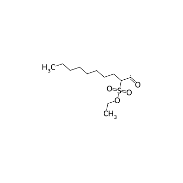 CCCCCCCCC([C]=O)S(=O)(=O)OCC